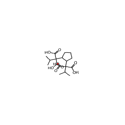 CC(C)C(C(=O)O)(C(=O)O)C1CCCC1C(C(=O)O)(C(=O)O)C(C)C